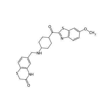 COc1ccc2nc(C(=O)C3CCC(NCc4ccc5c(c4)NC(=O)CS5)CC3)sc2c1